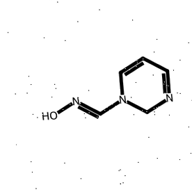 ON=CN1C=CC=NC1